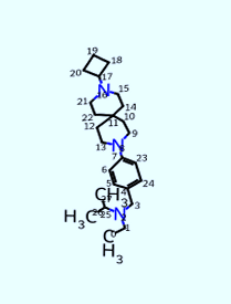 CCN(Cc1ccc(N2CCC3(CC2)CCN(C2CCC2)CC3)cc1)C(C)C